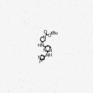 Cn1cc(Nc2nccc(N[C@@H]3CCN(C(=O)OC(C)(C)C)C3)n2)cn1